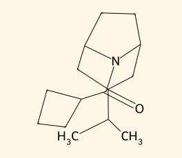 CC(C)C1CC2CCC(C1)N2C(=O)C1CCC1